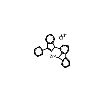 [Cl-].[Cl-].[Zr+2][CH]1c2ccccc2-c2cccc(C3C=C(c4ccccc4)c4ccccc43)c21